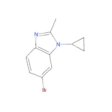 Cc1nc2ccc(Br)cc2n1C1CC1